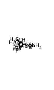 CC(C)(C)c1cc(COC2CC(N)C2)cc(OC(F)(F)F)c1